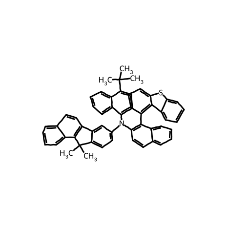 CC(C)(C)c1ccc(N(c2ccc3c(c2)-c2ccc4ccccc4c2C3(C)C)c2ccc3ccccc3c2-c2cccc3sc4ccccc4c23)c2ccccc12